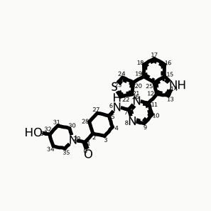 O=C(C1CCC(Nc2nccc(-c3c[nH]c4cccc(-c5ccsc5)c34)n2)CC1)N1CCC(O)CC1